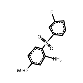 COc1ccc(S(=O)(=O)c2cccc(F)c2)c(N)c1